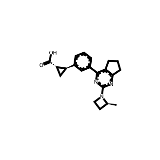 C[C@H]1CCN1c1nc2c(c(-c3cccc([C@H]4C[C@@H]4C(=O)O)c3)n1)CCC2